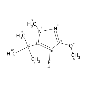 COc1nn(C)c(C(C)(C)C)c1F